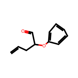 C=CCC(C=O)Oc1ccccc1